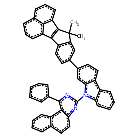 CC1(C)C2=C(c3ccc(-c4ccc5c6ccccc6n(-c6nc(-c7ccccc7)c7c(ccc8ccccc87)n6)c5c4)cc31)c1cccc3cccc2c13